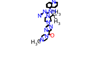 CC(C)C1CN(c2cnc(C(=O)N3CCN(C)CC3)cn2)CCN1/C(=N\C#N)Nc1cccc2ncccc12